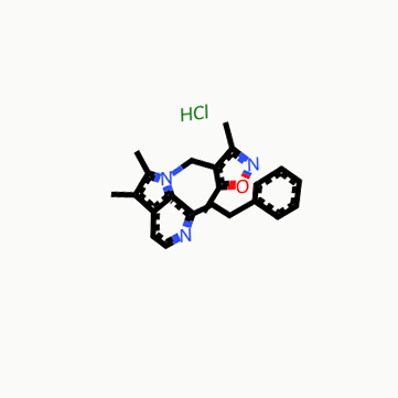 Cc1noc(C)c1Cn1c(C)c(C)c2ccnc(CCc3ccccc3)c21.Cl